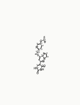 O=c1[nH]cc(-c2cc(C3C[C@H]3c3ccc(OC(F)F)cn3)c3nccn3n2)c(=O)[nH]1